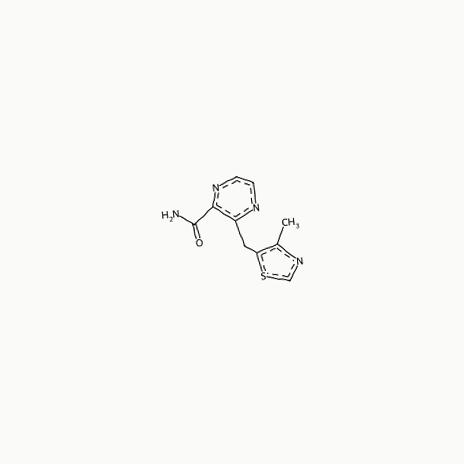 Cc1ncsc1Cc1nccnc1C(N)=O